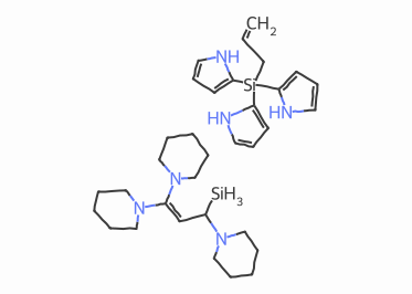 C=CC[Si](c1ccc[nH]1)(c1ccc[nH]1)c1ccc[nH]1.[SiH3]C(C=C(N1CCCCC1)N1CCCCC1)N1CCCCC1